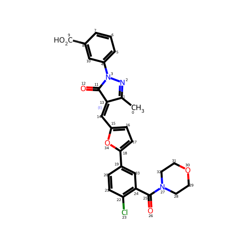 CC1=NN(c2cccc(C(=O)O)c2)C(=O)/C1=C/c1ccc(-c2ccc(Cl)c(C(=O)N3CCOCC3)c2)o1